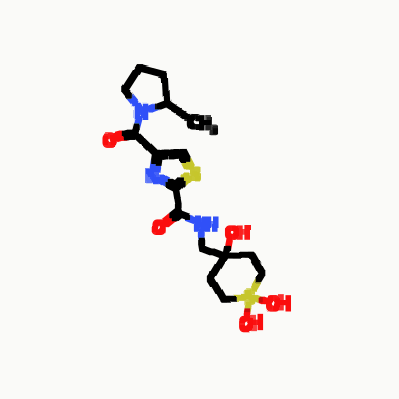 CC1CCCN1C(=O)c1csc(C(=O)NCC2(O)CCS(O)(O)CC2)n1